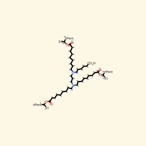 CCCCCC(CC)OC(=O)CCCCCCCCN(CCCCCCCCC(=O)OC(CC)CCCCC)CCCN(CCCCCCCCC(=O)OC(CC)CCCCC)CCCCCC(=O)O